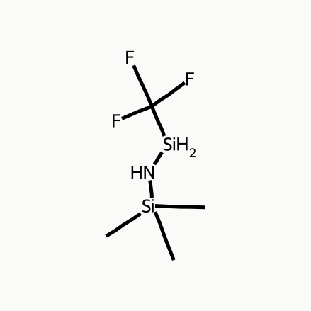 C[Si](C)(C)N[SiH2]C(F)(F)F